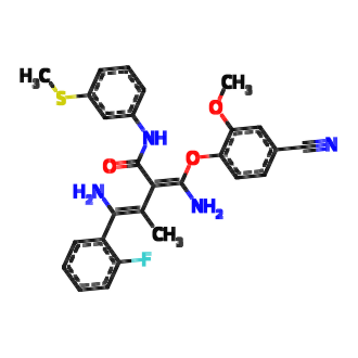 COc1cc(C#N)ccc1O/C(N)=C(C(=O)Nc1cccc(SC)c1)/C(C)=C(\N)c1ccccc1F